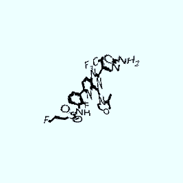 CC1COCCN1c1nc(-c2cnc(N)cc2C(F)(F)F)nc2ccc(-c3cccc(NS(=O)(=O)CCCF)c3F)nc12